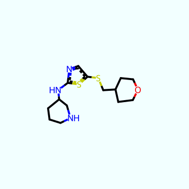 c1nc(NC2CCCNC2)sc1SCC1CCOCC1